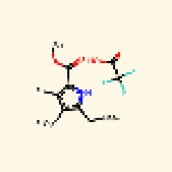 CCOC(=O)c1c(CNC)[nH]c(C(=O)OC(C)(C)C)c1CC.O=C(O)C(F)(F)F